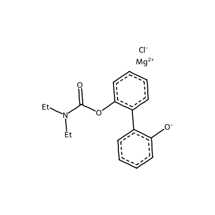 CCN(CC)C(=O)Oc1ccccc1-c1ccccc1[O-].[Cl-].[Mg+2]